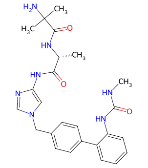 CNC(=O)Nc1ccccc1-c1ccc(Cn2cnc(NC(=O)[C@@H](C)NC(=O)C(C)(C)N)c2)cc1